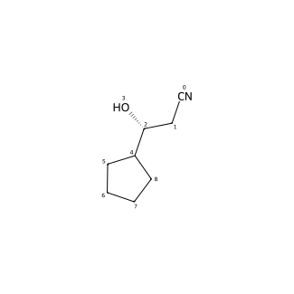 N#CC[C@@H](O)C1CCCC1